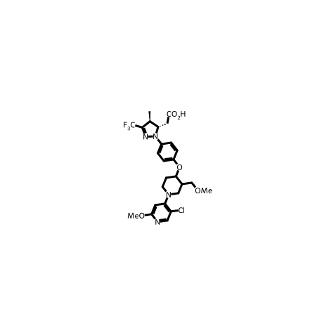 COCC1CN(c2cc(OC)ncc2Cl)CCC1Oc1ccc(N2N=C(C(F)(F)F)[C@@H](C)[C@@H]2CC(=O)O)cc1